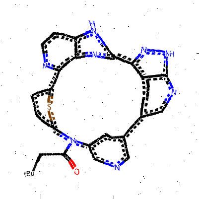 CC(C)(C)CC(=O)n1c2cncc(c2)c2cnc3[nH]nc(c4nc5c(ccnc5c5ccc1s5)[nH]4)c3c2